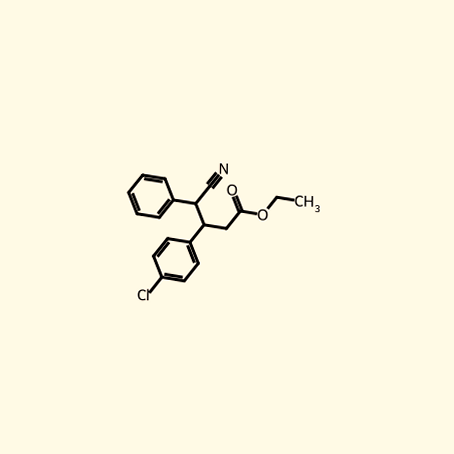 CCOC(=O)CC(c1ccc(Cl)cc1)C(C#N)c1ccccc1